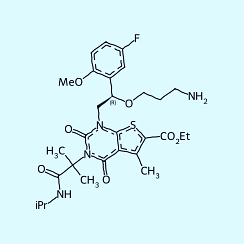 CCOC(=O)c1sc2c(c1C)c(=O)n(C(C)(C)C(=O)NC(C)C)c(=O)n2C[C@H](OCCCN)c1cc(F)ccc1OC